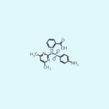 Cc1cc(C)nc(NS(=O)(=O)c2ccc(N)cc2)n1.O=C(O)c1ccccc1